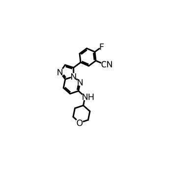 N#Cc1cc(-c2cnc3ccc(NC4CCOCC4)nn23)ccc1F